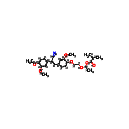 C=C(C)C(=O)OC(C)OCCOc1ccc(/C=C(\C#N)c2ccc(OC)c(OC)c2)cc1OC